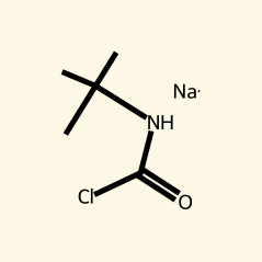 CC(C)(C)NC(=O)Cl.[Na]